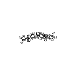 Cc1ccc(C(=O)Oc2ccc(C(C)(c3ccc(OC(=O)c4ccc(C)c(C)c4)cc3)C(F)(F)F)cc2)cc1C